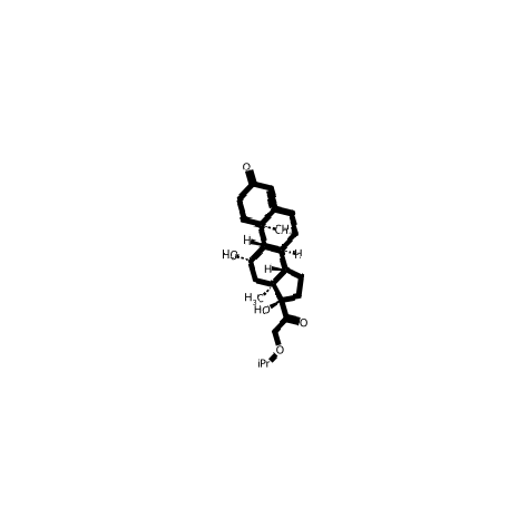 CC(C)OCC(=O)[C@@]1(O)CC[C@H]2[C@@H]3CCC4=CC(=O)CC[C@]4(C)[C@H]3[C@@H](O)C[C@@]21C